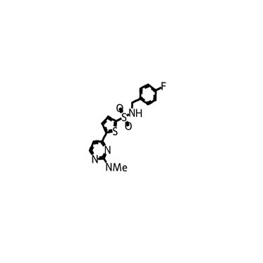 CNc1nccc(-c2ccc(S(=O)(=O)NCc3ccc(F)cc3)s2)n1